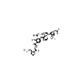 CCc1cc(Nc2nccn3c(-c4cn(CC(F)F)nc4C(F)(F)F)cnc23)ccc1C(=O)NCC(=O)N1CCCC1CN.O=CO